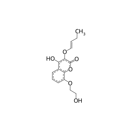 CCC=COc1c(O)c2cccc(OCCO)c2oc1=O